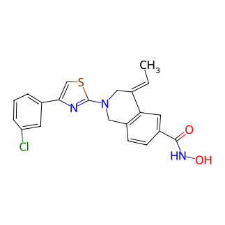 C/C=C1\CN(c2nc(-c3cccc(Cl)c3)cs2)Cc2ccc(C(=O)NO)cc21